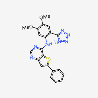 COc1cc(Nc2ncnc3cc(-c4ccccc4)sc23)c(-c2nnn[nH]2)cc1OC